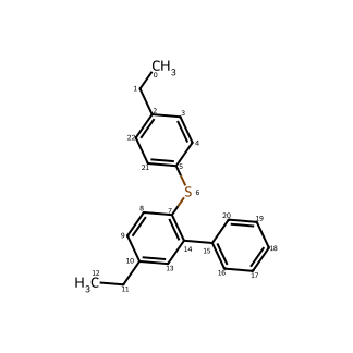 CCc1ccc(Sc2ccc(CC)cc2-c2ccccc2)cc1